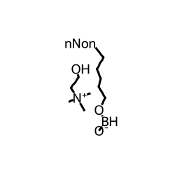 CCCCCCCCCCCCCCOB[O-].C[N+](C)(C)CCO